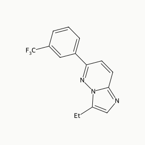 CCc1cnc2ccc(-c3cccc(C(F)(F)F)c3)nn12